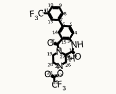 O=C1Nc2ccc(-c3cccc(C(F)(F)F)c3)cc2C(=O)N2CCN(OC(=O)C(F)(F)F)C[C@H]12